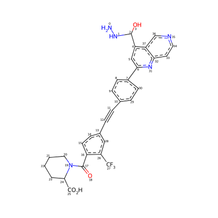 NNC(O)c1cc(-c2ccc(C#Cc3ccc(C(=O)N4CCCCC4C(=O)O)c(C(F)(F)F)c3)cc2)nc2ccncc12